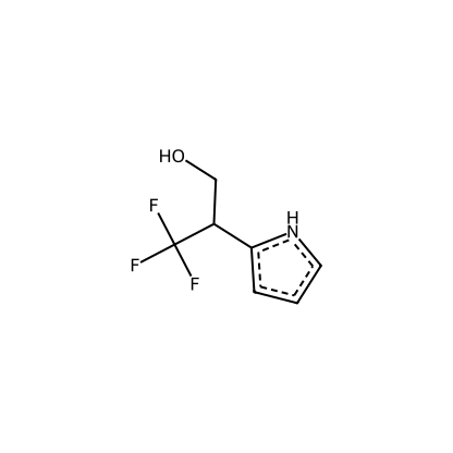 OCC(c1ccc[nH]1)C(F)(F)F